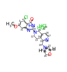 COc1cc(Cl)c2c(=O)[nH]c(N3CCc4c(ccnc4CN4C[C@@H]5C[C@H]4CO5)C3)nc2c1.Cl.Cl